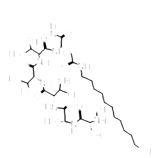 CCCCCCCCCCCCNC(=O)C[C@H](NC(=O)[C@@H](NC(=O)[C@@H](NC(=O)[C@@H](NC(=O)[C@H](C)NC(=O)[C@H](C)NC)C(C)C)C(C)C)C(C)C)C(N)=O